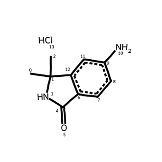 CC1(C)NC(=O)c2ccc(N)cc21.Cl